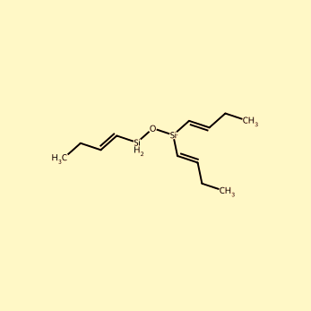 CCC=C[SiH2]O[Si](C=CCC)C=CCC